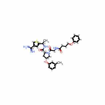 Cc1cccc(O[C@@H]2C[C@@H](C(=O)NC(C)c3cc(C(=N)N)cs3)N(C(=O)CNC(=O)CCCOc3ccccc3)C2)c1